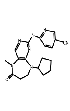 CN1C(=O)CCN(C2CCCC2)c2nc(Nc3ccc(C#N)cn3)ncc21